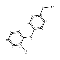 [O]Cc1ccc(Oc2ccccc2Cl)cc1